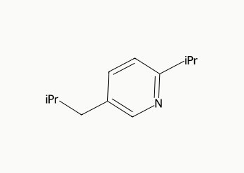 CC(C)Cc1ccc(C(C)C)nc1